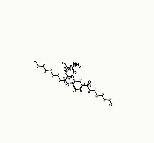 CCCCCCCC[C@H](Oc1ccc(C(=O)CCCCCCC)cc1)C(=O)O[C@@H](C)C(N)=O